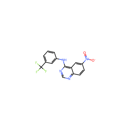 O=[N+]([O-])c1ccc2ncnc(Nc3cccc(C(F)(F)F)c3)c2c1